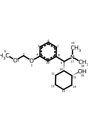 COCOc1cccc(C([C@H]2CCCC[C@H]2O)N(C)C)c1